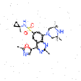 Cc1nc(-c2cnc(C)o2)c2cc(S(=O)(=O)NC3(C)CC3)cc(N3C[C@H](C)N[C@@H](C)C3)c2n1